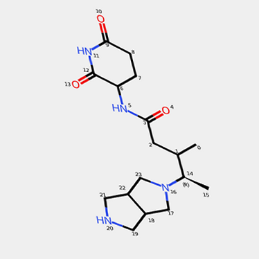 CC(CC(=O)NC1CCC(=O)NC1=O)[C@@H](C)N1CC2CNCC2C1